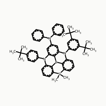 CC(C)(C)c1ccc(N2c3cc(N(c4ccccc4)c4ccccc4)cc4c3B3c5c2cccc5[Si](C)(C)c2cccc(c23)N4c2cc(C(C)(C)C)cc(C(C)(C)C)c2)cc1